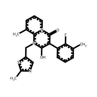 Cc1ncc(C[n+]2c(O)c(-c3cccc(C)c3F)c(=O)n3cccc(C)c32)s1